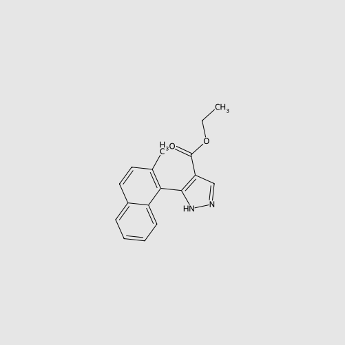 CCOC(=O)c1cn[nH]c1-c1c(C)ccc2ccccc12